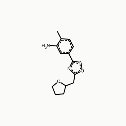 Cc1ccc(-c2noc(CC3CCCO3)n2)cc1N